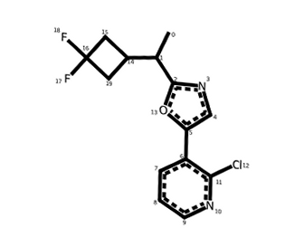 CC(c1ncc(-c2cccnc2Cl)o1)C1CC(F)(F)C1